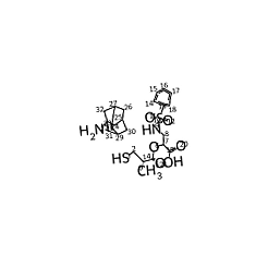 C[C@H](CS)C(=O)OC(CNS(=O)(=O)c1ccccc1)C(=O)O.NC12CC3CC(CC(C3)C1)C2